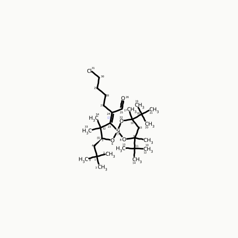 CC(C)(C)C[C@@H]1O[Si]2(OC(C)(C(C)(C)C)CC(C)(C(C)(C)C)O2)/C(=C(\C=O)CCCCCl)C1(C)C